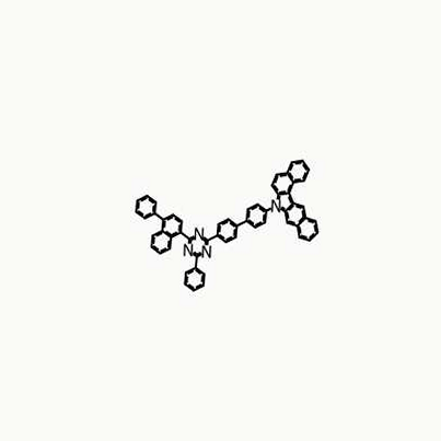 c1ccc(-c2nc(-c3ccc(-c4ccc(-n5c6cc7ccccc7cc6c6c7ccccc7ccc65)cc4)cc3)nc(-c3ccc(-c4ccccc4)c4ccccc34)n2)cc1